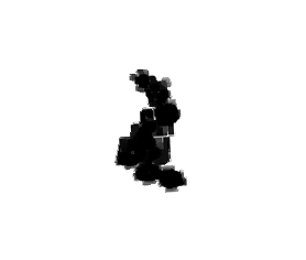 CN(CC(=O)N1CCC[C@@H](NC(=O)c2sc3nccc4c3c2NC(=O)N4c2cccc(-c3ccccc3)c2)C1)C(=O)OC(C)(C)C